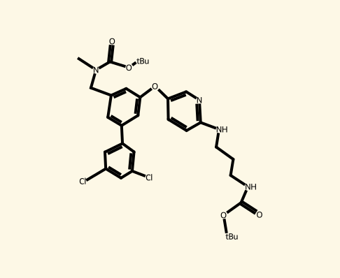 CN(Cc1cc(Oc2ccc(NCCCNC(=O)OC(C)(C)C)nc2)cc(-c2cc(Cl)cc(Cl)c2)c1)C(=O)OC(C)(C)C